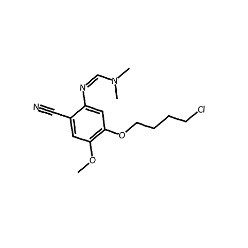 COc1cc(C#N)c(/N=C\N(C)C)cc1OCCCCCl